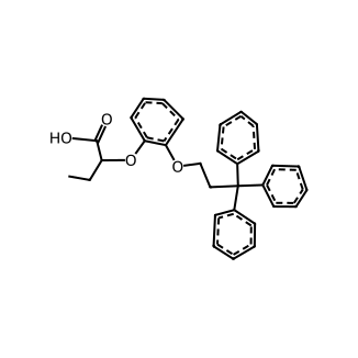 CCC(Oc1ccccc1OCCC(c1ccccc1)(c1ccccc1)c1ccccc1)C(=O)O